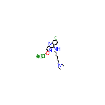 CCN(CC)CCCCCCCNc1c2ccc(Cl)cc2nc2ccc(OC)nc12.Cl.Cl